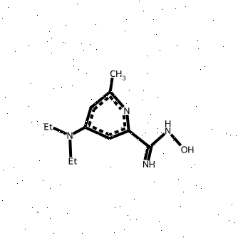 CCN(CC)c1cc(C)nc(C(=N)NO)c1